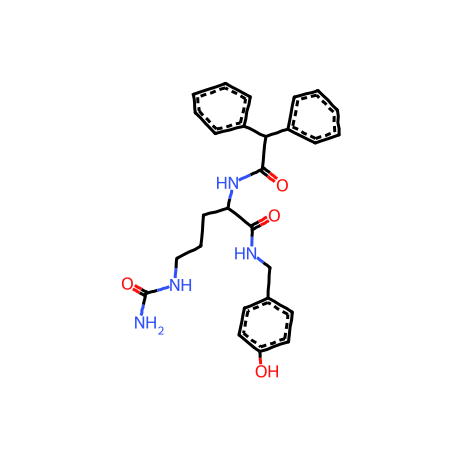 NC(=O)NCCCC(NC(=O)C(c1ccccc1)c1ccccc1)C(=O)NCc1ccc(O)cc1